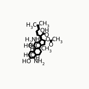 CC(=O)O[C@H]1C[C@@]2(C)[C@H](/C1=C(\C=C/C=C(C)C)C(=O)O)[C@@H](N)[C@@H](O)[C@H]1[C@@]3(C)CC[C@@H](O)[C@@H](N)[C@@H]3CC[C@@]12C